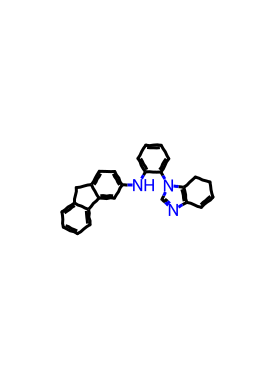 C1=Cc2ncn(-c3ccccc3Nc3ccc4c(c3)-c3ccccc3C4)c2CC1